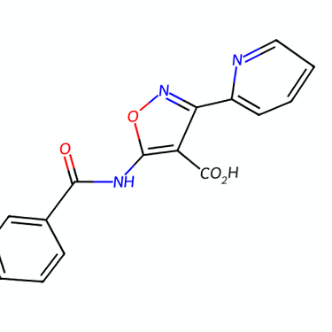 O=C(Nc1onc(-c2ccccn2)c1C(=O)O)c1ccccc1